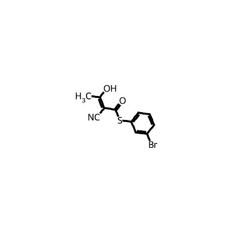 C/C(O)=C(\C#N)C(=O)Sc1cccc(Br)c1